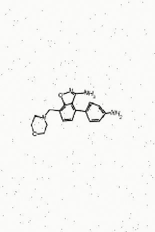 Nc1ccc(-c2ccc(CN3CCOCC3)c3onc(N)c23)cc1